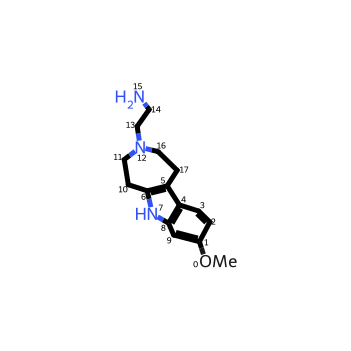 COc1ccc2c3c([nH]c2c1)CCN(CCN)CC3